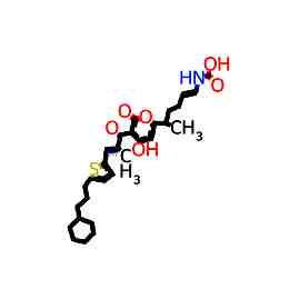 C/C(=C\c1ccc(CCCC2CCCCC2)s1)C(=O)c1c(O)cc(C(C)CCC=CNC(=O)O)oc1=O